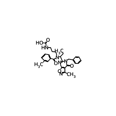 CCC(c1nc2onc(C)c2c(=O)n1Cc1ccccc1)N(CCCNC(=O)O)C(=O)c1cccc(C)c1